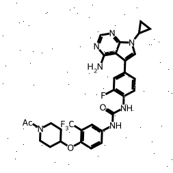 CC(=O)N1CCC(Oc2ccc(NC(=O)Nc3ccc(-c4cn(C5CC5)c5ncnc(N)c45)cc3F)cc2C(F)(F)F)CC1